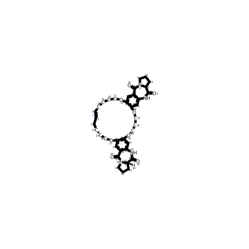 O=C1Nc2cc3c(cc2C(=O)N2CCCC12)OCCCC/C=C/CCCCOc1cc2c(cc1OCCCO3)NC(=O)[C@@H]1CCCN1C2=O